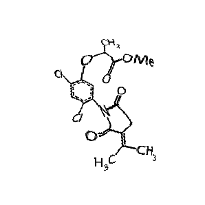 COC(=O)C(C)Oc1cc(N2C(=O)CC(=C(C)C)C2=O)c(Cl)cc1Cl